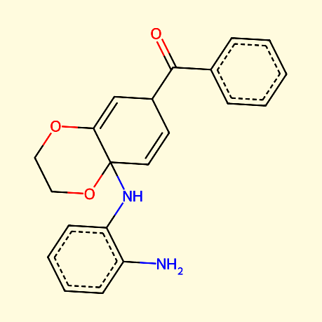 Nc1ccccc1NC12C=CC(C(=O)c3ccccc3)C=C1OCCO2